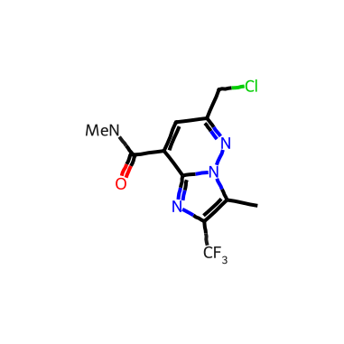 CNC(=O)c1cc(CCl)nn2c(C)c(C(F)(F)F)nc12